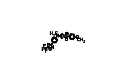 COc1ccc(S(=O)(=O)N2CC(N(C)c3ccc(-c4noc(C(F)(F)F)n4)cc3)C2)cc1